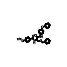 CCCOc1ccc(C(=O)NC(COCc2ccccc2)C(=O)Nc2ccc(Oc3ccccc3)cc2)cc1